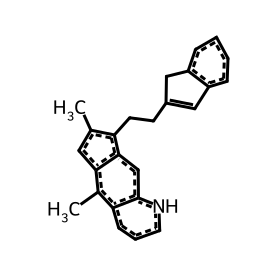 Cc1cc2c(C)c3ccc[nH]c3cc2c1CCC1=Cc2ccccc2C1